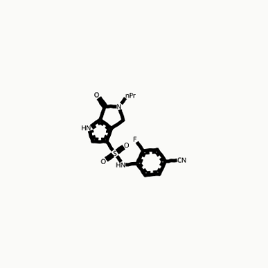 CCCN1Cc2c(S(=O)(=O)Nc3ccc(C#N)cc3F)c[nH]c2C1=O